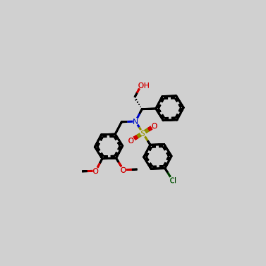 COc1ccc(CN([C@H](CO)c2ccccc2)S(=O)(=O)c2ccc(Cl)cc2)cc1OC